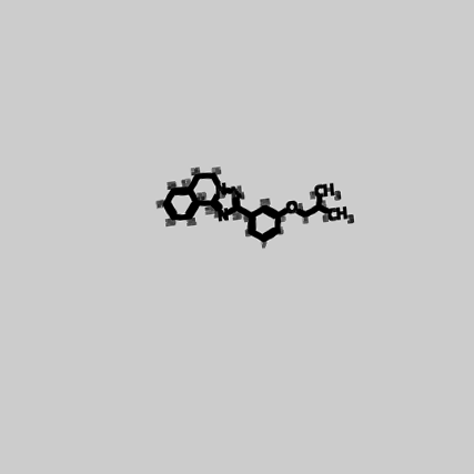 CC(C)COc1cccc(-c2nc3n(n2)CCc2ccccc2-3)c1